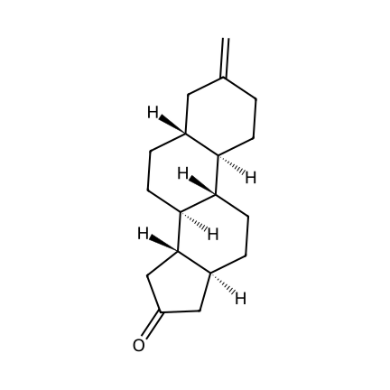 C=C1CC[C@@H]2[C@H](CC[C@H]3[C@H]2CC[C@H]2CC(=O)C[C@@H]23)C1